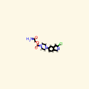 NC(=O)COC(=O)N1CCN(c2ccc3cnc(Cl)cc3c2)CC1